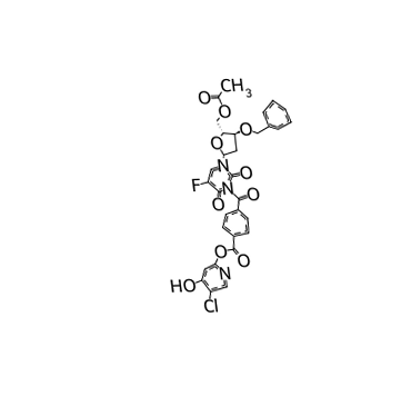 CC(=O)OC[C@H]1O[C@@H](n2cc(F)c(=O)n(C(=O)c3ccc(C(=O)Oc4cc(O)c(Cl)cn4)cc3)c2=O)C[C@@H]1OCc1ccccc1